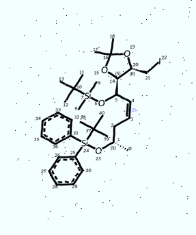 C[C@@H](C/C=C\C(O[Si](C)(C)C(C)(C)C)[C@H]1OC(C)(C)O[C@H]1CI)O[Si](c1ccccc1)(c1ccccc1)C(C)(C)C